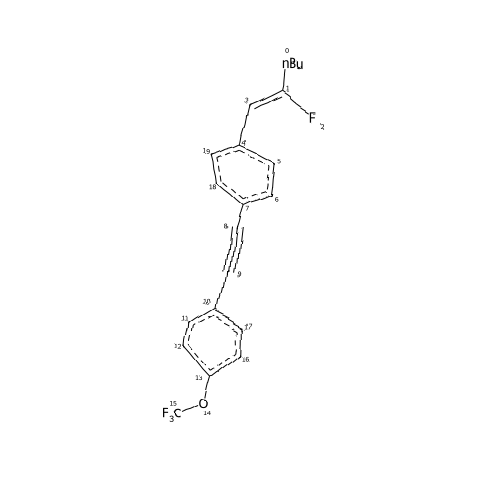 CCCCC(F)=Cc1ccc(C#Cc2ccc(OC(F)(F)F)cc2)cc1